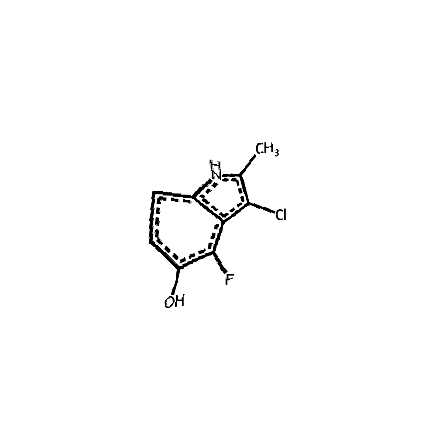 Cc1[nH]c2ccc(O)c(F)c2c1Cl